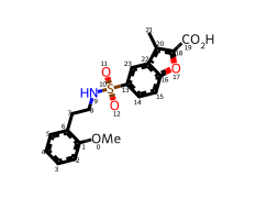 COc1ccccc1CCNS(=O)(=O)c1ccc2oc(C(=O)O)c(C)c2c1